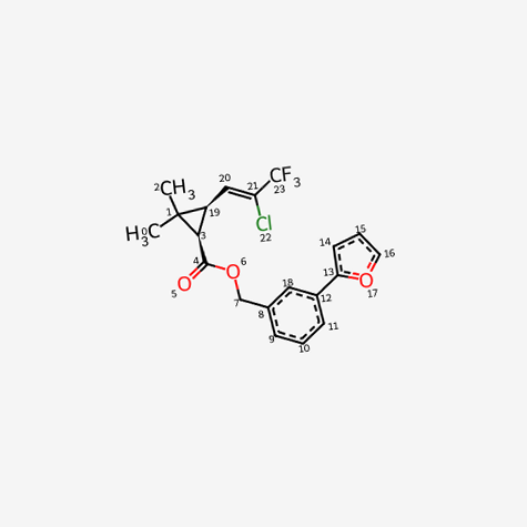 CC1(C)[C@H](C(=O)OCc2cccc(-c3ccco3)c2)[C@@H]1C=C(Cl)C(F)(F)F